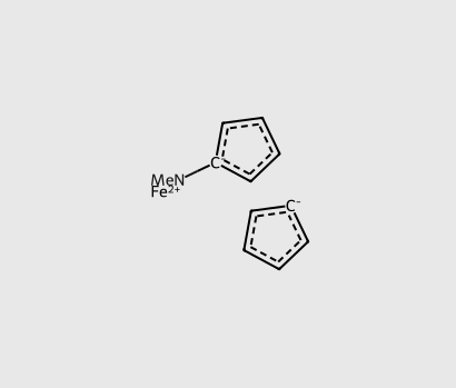 CN[c-]1cccc1.[Fe+2].c1cc[cH-]c1